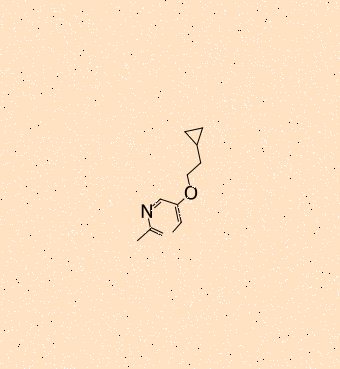 C=C(C)/N=C\C(=C/C)OCCC1CC1